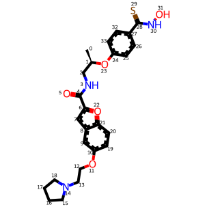 C[C@H](CNC(=O)c1cc2cc(OCCN3CCCC3)ccc2o1)Oc1ccc(C(=S)NO)cc1